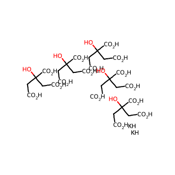 O=C(O)CC(O)(CC(=O)O)C(=O)O.O=C(O)CC(O)(CC(=O)O)C(=O)O.O=C(O)CC(O)(CC(=O)O)C(=O)O.O=C(O)CC(O)(CC(=O)O)C(=O)O.O=C(O)CC(O)(CC(=O)O)C(=O)O.[KH].[KH]